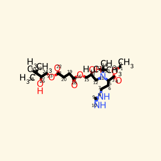 CCOC(=O)C(CCNC=N)N(CC(O)COC(=O)CCC(=O)OCC(O)C(C)(C)C)C(C)(C)C